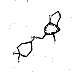 Fc1cc2c(cc1CNC1CCC(F)(F)CC1)OCC2